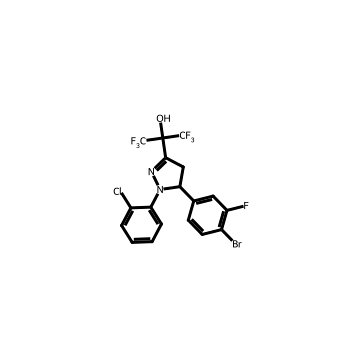 OC(C1=NN(c2ccccc2Cl)C(c2ccc(Br)c(F)c2)C1)(C(F)(F)F)C(F)(F)F